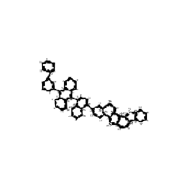 c1ccc(-c2cccc(-c3c4ccccc4c(-c4ccc(-c5ccc6c(ccc7c6sc6ccc8c9ccccc9sc8c67)c5)c5ccccc45)c4ccccc34)c2)cc1